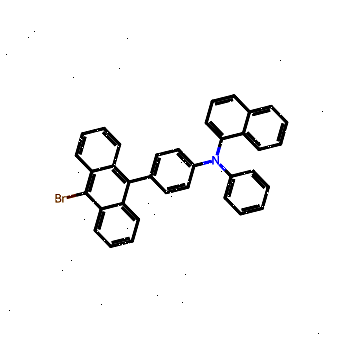 Brc1c2ccccc2c(-c2ccc(N(c3ccccc3)c3cccc4ccccc34)cc2)c2ccccc12